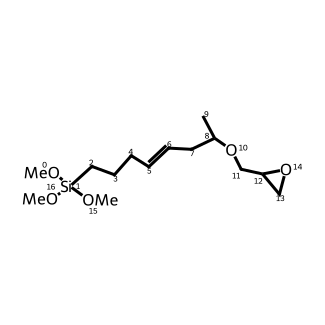 CO[Si](CCCC=CCC(C)OCC1CO1)(OC)OC